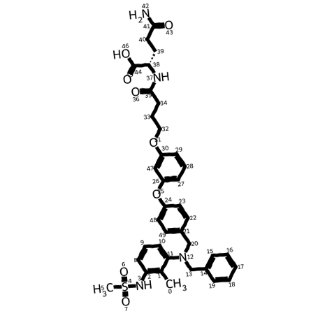 Cc1c(NS(C)(=O)=O)cccc1N(Cc1ccccc1)Cc1ccc(Oc2cccc(OCCCC(=O)N[C@@H](CCC(N)=O)C(=O)O)c2)cc1